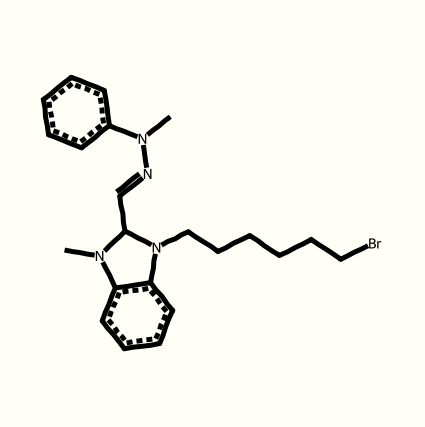 CN(/N=C/C1N(C)c2ccccc2N1CCCCCCBr)c1ccccc1